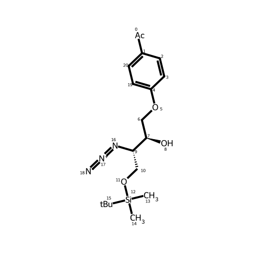 CC(=O)c1ccc(OC[C@@H](O)[C@H](CO[Si](C)(C)C(C)(C)C)N=[N+]=[N-])cc1